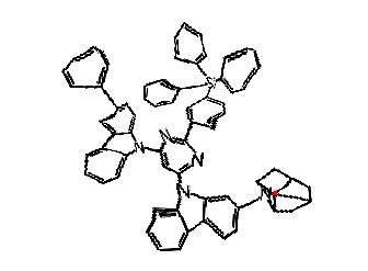 c1ccc(-c2ccc3c(c2)c2ccccc2n3-c2cc(-n3c4ccccc4c4ccc(N5C6CC7CC(C6)CC5C7)cc43)nc(-c3cccc([Si](c4ccccc4)(c4ccccc4)c4ccccc4)c3)n2)cc1